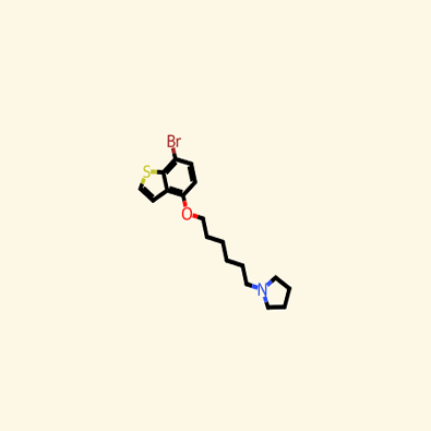 Brc1ccc(OCCCCCCN2CCCC2)c2ccsc12